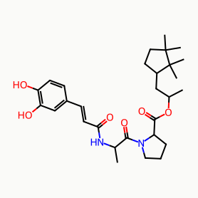 CC(CC1CCC(C)(C)C1(C)C)OC(=O)C1CCCN1C(=O)C(C)NC(=O)/C=C/c1ccc(O)c(O)c1